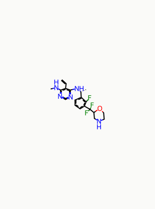 C=Cc1c(NC)ncnc1N[C@H](C)c1cccc(C(F)(F)C2CNCCO2)c1F